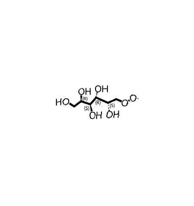 [O]OC[C@H](O)[C@@H](O)[C@@H](O)[C@H](O)CO